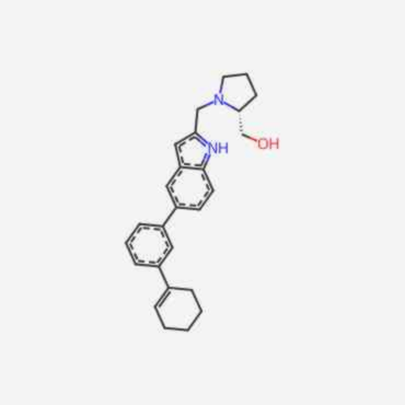 OC[C@H]1CCCN1Cc1cc2cc(-c3cccc(C4=CCCCC4)c3)ccc2[nH]1